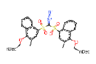 CCCCCCCCCCCOc1c(C)cc(S(=O)(=O)C(=[N+]=[N-])S(=O)(=O)c2cc(C)c(OCCCCCCCCCCC)c3ccccc23)c2ccccc12